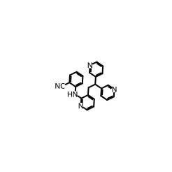 N#Cc1ccccc1Nc1ncccc1CC(c1cccnc1)c1cccnc1